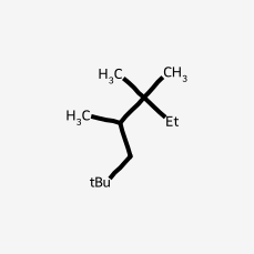 CCC(C)(C)C(C)CC(C)(C)C